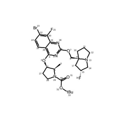 C[C@@H]1[C@H](Oc2nc(OC[C@@]34CCCN3C[C@H](F)C4)nc3c(F)c(Br)ccc23)CCN1C(=O)OC(C)(C)C